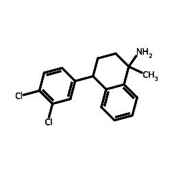 CC1(N)CCC(c2ccc(Cl)c(Cl)c2)c2ccccc21